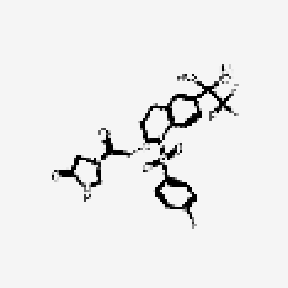 CC(O)(c1ccc2c(c1)CC[C@@H](CC(=O)N1CNC(=O)C1)N2S(=O)(=O)c1ccc(F)cc1)C(F)(F)F